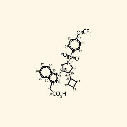 O=C(O)Cc1nn([C@H]2CN(S(=O)(=O)c3ccc(OC(F)(F)F)cc3)C[C@H]2C2CCC2)c2ccccc12